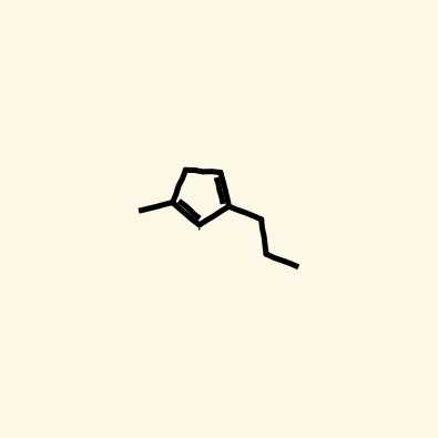 CCCC1=CCC(C)=[C]1